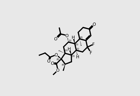 CCC(=O)O[C@]1(C(=O)OC)[C@H](C)C[C@H]2[C@@H]3CC(F)(F)C4=CC(=O)CC[C@]4(C)[C@H]3[C@@H](OC(C)=O)C[C@@]21C